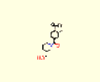 CCC1(c2ccc(C(=O)N3CCC[C@@H](CO)C3)cc2C)CC1